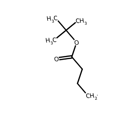 [CH2]CCC(=O)OC(C)(C)C